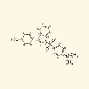 CN1CC=C(c2cn(S(=O)(=O)c3ccc(N(C)C)cc3)c3ccccc23)CC1